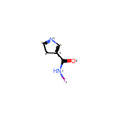 O=C(NI)C1=CN=CC1